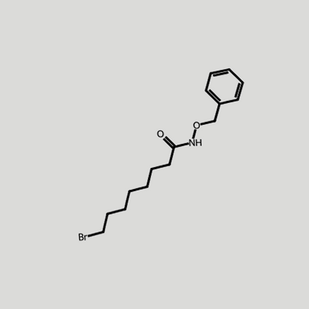 O=C(CCCCCCCBr)NOCc1ccccc1